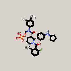 Cc1ccc(N(COP(=O)(O)O)C(=O)[C@H]2CCCN(C(=O)c3c(C)cccc3F)[C@H]2c2ccc(NC3CCCC3)cc2)cc1C(F)(F)F